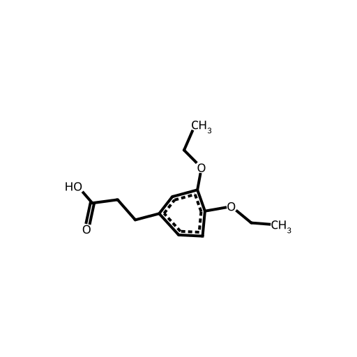 CCOc1ccc(CCC(=O)O)cc1OCC